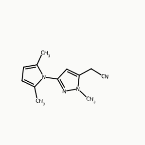 Cc1ccc(C)n1-c1cc(CC#N)n(C)n1